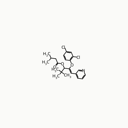 CC(C)CC(=O)OC(C(=Cc1cccnc1)Oc1ccc(Cl)cc1Cl)C(C)(C)C